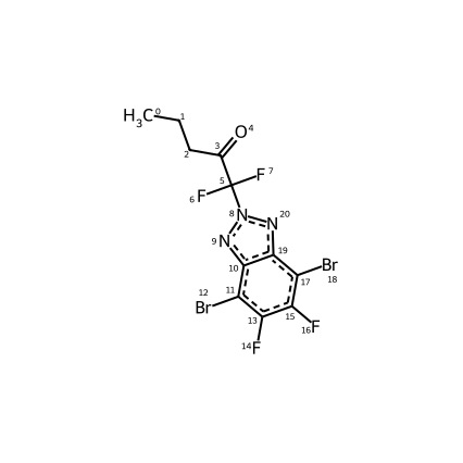 CCCC(=O)C(F)(F)n1nc2c(Br)c(F)c(F)c(Br)c2n1